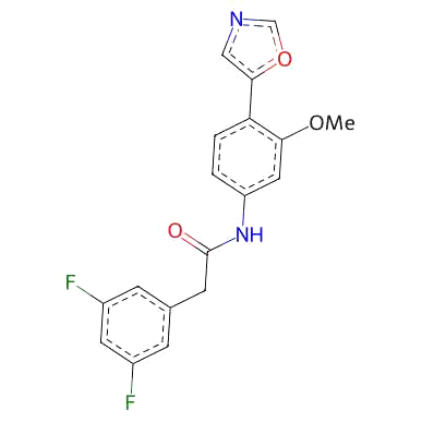 COc1cc(NC(=O)Cc2cc(F)cc(F)c2)ccc1-c1cnco1